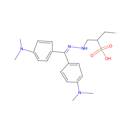 [CH2]CC(CNN=C(c1ccc(N(C)C)cc1)c1ccc(N(C)C)cc1)S(=O)(=O)O